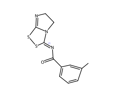 Cc1cccc(C(=O)/N=C2\SSC3=NCCN32)c1